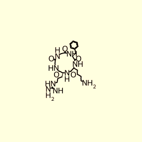 N=C(N)NCCC[C@@H]1NC(=O)C(CCCCN)NC(=O)[C@H](Cc2ccccc2)NC(=O)CNC(=O)CNC1=O